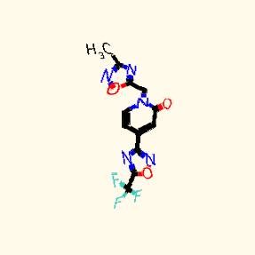 Cc1noc(Cn2ccc(-c3noc(C(F)(F)F)n3)cc2=O)n1